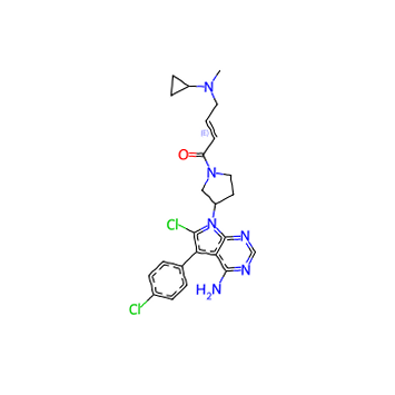 CN(C/C=C/C(=O)N1CCC(n2c(Cl)c(-c3ccc(Cl)cc3)c3c(N)ncnc32)C1)C1CC1